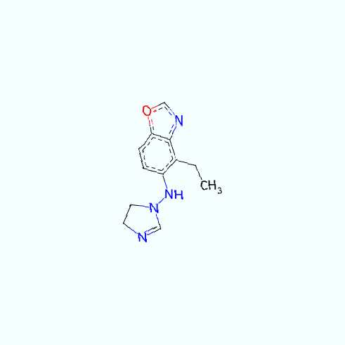 CCc1c(NN2C=NCC2)ccc2ocnc12